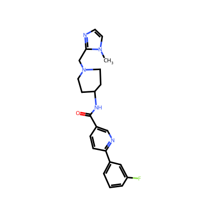 Cn1ccnc1CN1CCC(NC(=O)c2ccc(-c3cccc(F)c3)nc2)CC1